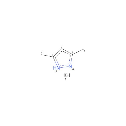 Cc1cc(C)[nH]n1.[KH]